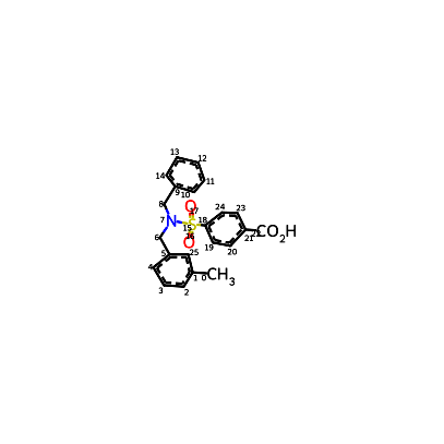 Cc1cccc(CN(Cc2ccccc2)S(=O)(=O)c2ccc(C(=O)O)cc2)c1